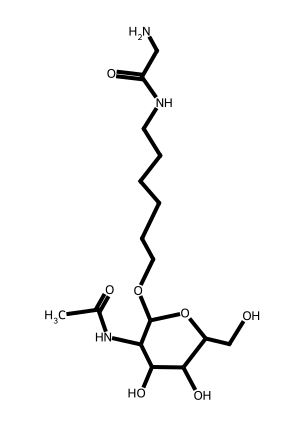 CC(=O)NC1C(OCCCCCCNC(=O)CN)OC(CO)C(O)C1O